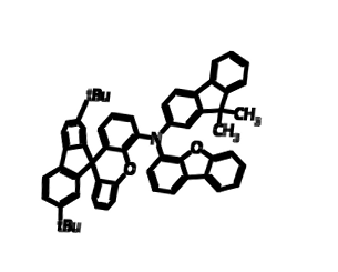 CC(C)(C)c1ccc2c(c1)C1(c3ccccc3Oc3c(N(c4ccc5c(c4)C(C)(C)c4ccccc4-5)c4cccc5c4oc4ccccc45)cccc31)c1cc(C(C)(C)C)ccc1-2